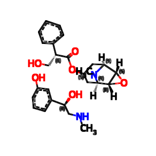 CN1[C@@H]2C[C@@H](OC(=O)[C@H](CO)c3ccccc3)C[C@H]1[C@@H]1O[C@@H]12.CNC[C@H](O)c1cccc(O)c1